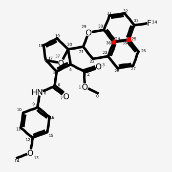 COC(=O)C1=C(C(=O)Nc2ccc(OC)cc2)C2C=CC1(C(Cc1ccccc1)Oc1ccc(F)cc1)O2